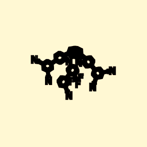 N#Cc1cc(C#N)cc(-c2ccc3c4ccccc4n(-c4cc(-c5cccc(C#N)c5)c(C(F)(F)F)cc4-n4c5ccccc5c5ccc(-c6cc(C#N)cc(C#N)c6)cc54)c3c2)c1